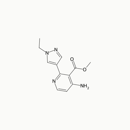 CCn1cc(-c2nccc(N)c2C(=O)OC)cn1